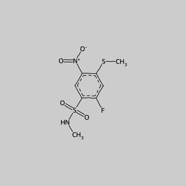 CNS(=O)(=O)c1cc([N+](=O)[O-])c(SC)cc1F